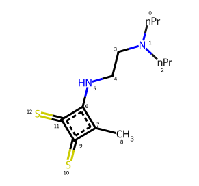 CCCN(CCC)CCNc1c(C)c(=S)c1=S